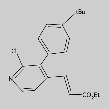 CCOC(=O)C=Cc1ccnc(Cl)c1-c1ccc(C(C)(C)C)cc1